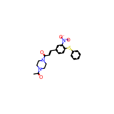 CC(=O)N1CCN(C(=O)C=Cc2ccc(Sc3ccccc3)c([N+](=O)[O-])c2)CC1